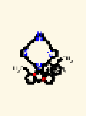 C=Cc1ccccc1-c1c(-c2ccccc2C=C)c2c(-c3ccccc3C=C)c3nc(cc4ccc(cc5nc(cc1n2-c1ccccc1C=C)C=C5)[nH]4)C=C3